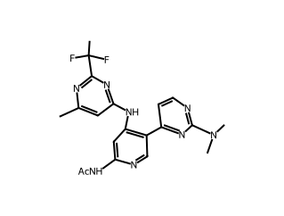 CC(=O)Nc1cc(Nc2cc(C)nc(C(C)(F)F)n2)c(-c2ccnc(N(C)C)n2)cn1